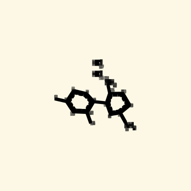 Cc1ccc(-c2cc(N)ccc2N)c(C)c1.Cl.Cl